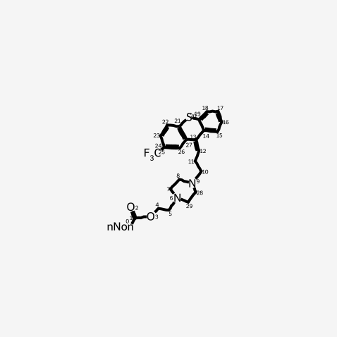 CCCCCCCCCC(=O)OCCN1CCN(CC/C=C2/c3ccccc3Sc3ccc(C(F)(F)F)cc32)CC1